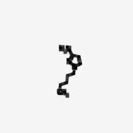 CCCCCn1ccc(N)n1